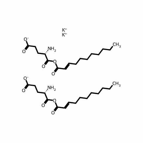 CCCCCCCCC=CC(=O)OC(=O)[C@@H](N)CCC(=O)[O-].CCCCCCCCC=CC(=O)OC(=O)[C@@H](N)CCC(=O)[O-].[K+].[K+]